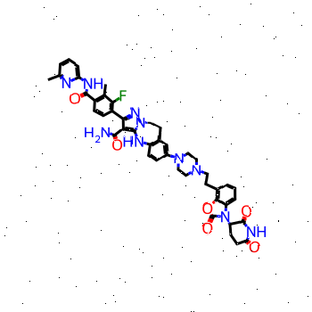 Cc1cccc(NC(=O)c2ccc(-c3nn4c(c3C(N)=O)Nc3ccc(N5CCN(CCc6cccc7c6oc(=O)n7C6CCC(=O)NC6=O)CC5)cc3CC4)c(F)c2C)n1